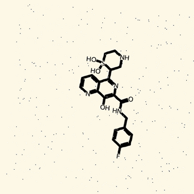 O=C(NCc1ccc(F)cc1)c1nc(C2CNCCS2(O)O)c2cccnc2c1O